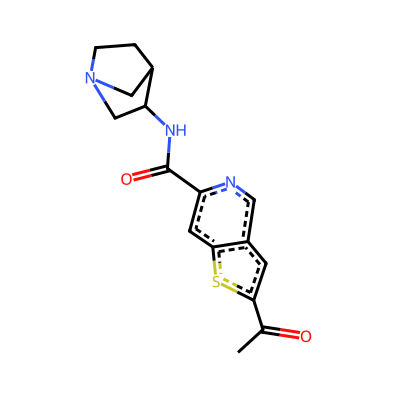 CC(=O)c1cc2cnc(C(=O)NC3CN4CCC3C4)cc2s1